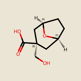 O=C(O)[C@@]1(CO)C[C@H]2CC[C@@H](C1)O2